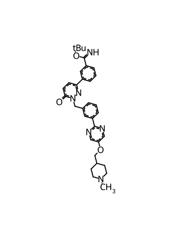 CN1CCC(COc2cnc(-c3cccc(Cn4nc(-c5cccc(C(=N)OC(C)(C)C)c5)ccc4=O)c3)nc2)CC1